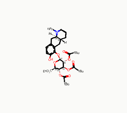 CCCN1CCC[C@@H]2Cc3c(ccc(O)c3O[C@@H]3O[C@H](C(=O)OCC)[C@@H](OC(=O)C(C)(C)C)[C@H](OC(=O)C(C)(C)C)[C@H]3OC(=O)C(C)(C)C)C[C@H]21